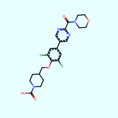 O=C(O)N1CCC(COc2c(F)cc(-c3cnc(C(=O)N4CCOCC4)nc3)cc2F)CC1